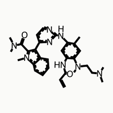 C=CC(=O)Nc1cc(Nc2nccc(-c3c(C(=O)N(C)C)n(C)c4ccccc34)n2)c(C)cc1N(C)CCN(C)C